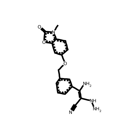 Cn1c(=O)oc2cc(OCc3cccc(/C(N)=C(\C#N)NN)c3)ccc21